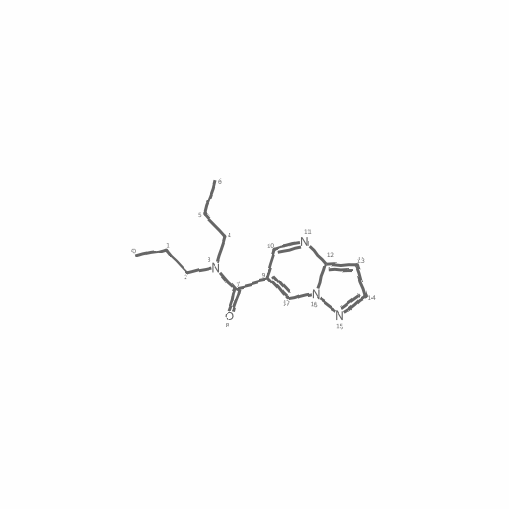 CCCN(CCC)C(=O)c1cnc2ccnn2c1